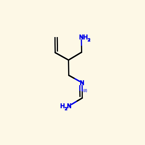 C=CC(CN)C/N=C\N